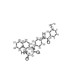 CSc1cccc(C(=O)Nc2ccc(N3C(=O)CC(=O)Nc4c3ccc3ccccc43)cc2)c1